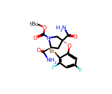 CC(C)(C)OC(=O)N1C[C@@](Oc2cc(F)cc(F)c2Br)(C(N)=O)C[C@H]1C(N)=O